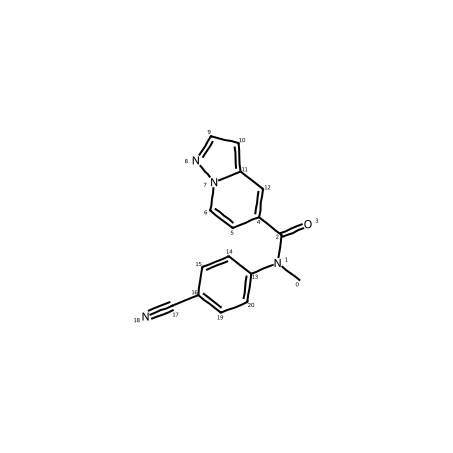 CN(C(=O)c1ccn2nccc2c1)c1ccc(C#N)cc1